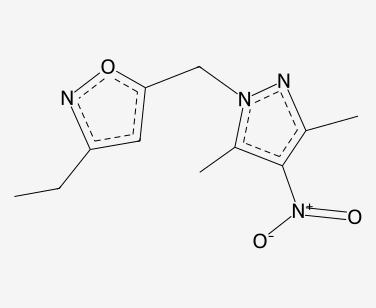 CCc1cc(Cn2nc(C)c([N+](=O)[O-])c2C)on1